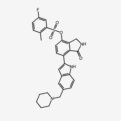 Cc1ccc(F)cc1S(=O)(=O)Oc1ccc(-c2cc3cc(CN4CCCCC4)ccc3[nH]2)c2c1CNC2=O